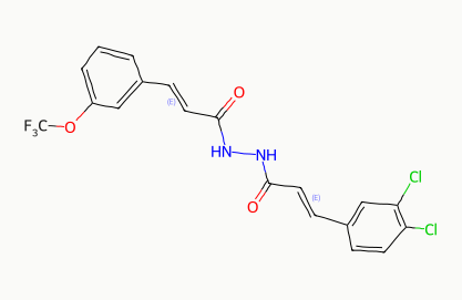 O=C(/C=C/c1cccc(OC(F)(F)F)c1)NNC(=O)/C=C/c1ccc(Cl)c(Cl)c1